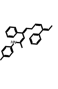 C/C=C(\C=C/C/C=C(\C=C(\C)Nc1ccc(Br)cc1)c1ccccc1)c1ccccc1